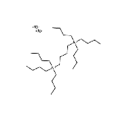 CCCC[N+](CCCC)(CCCC)CCCC[N+](CCCC)(CCCC)CCCC.[OH-].[OH-]